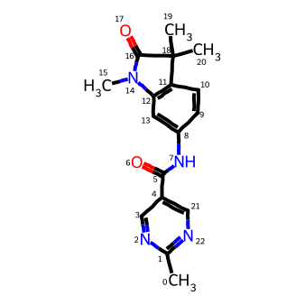 Cc1ncc(C(=O)Nc2ccc3c(c2)N(C)C(=O)C3(C)C)cn1